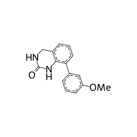 COc1cccc(-c2cccc3c2NC(=O)NC3)c1